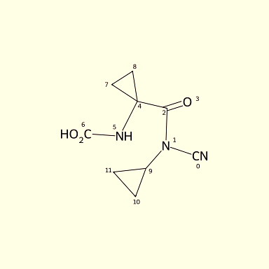 N#CN(C(=O)C1(NC(=O)O)CC1)C1CC1